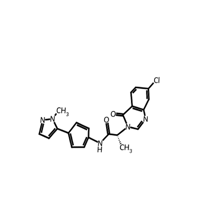 C[C@H](C(=O)Nc1ccc(-c2ccnn2C)cc1)n1cnc2cc(Cl)ccc2c1=O